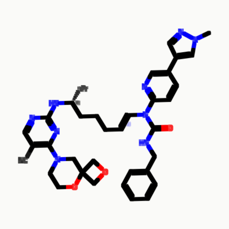 CCC[C@H](CCC/C=C/N(C(=O)NCc1ccccc1)c1ccc(-c2cnn(C)c2)cn1)Nc1ncc(C#N)c(N2CCOC3(COC3)C2)n1